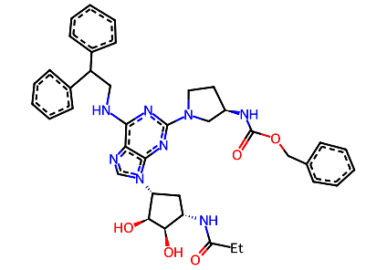 CCC(=O)N[C@H]1C[C@@H](n2cnc3c(NCC(c4ccccc4)c4ccccc4)nc(N4CC[C@@H](NC(=O)OCc5ccccc5)C4)nc32)[C@H](O)[C@@H]1O